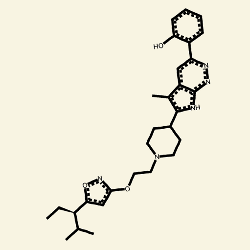 CC[C@@H](c1cc(OCCN2CCC(c3[nH]c4nnc(-c5ccccc5O)cc4c3C)CC2)no1)C(C)C